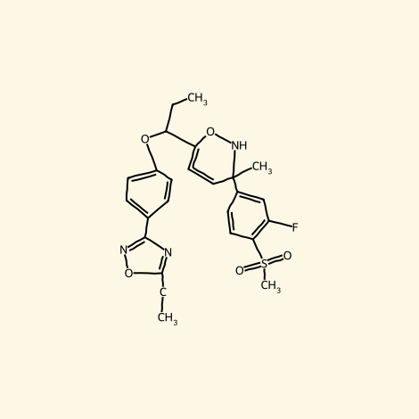 CCc1nc(-c2ccc(OC(CC)C3=C=CC(C)(c4ccc(S(C)(=O)=O)c(F)c4)NO3)cc2)no1